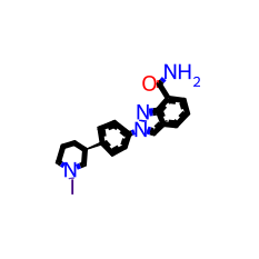 NC(=O)c1cccc2cn(-c3ccc([C@@H]4CCCN(I)C4)cc3)nc12